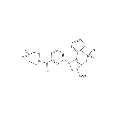 O=C(O)c1nn(-c2cccc(C(=O)N3CCS(=O)(=O)CC3)c2)c2c1CS(=O)(=O)c1ccccc1-2